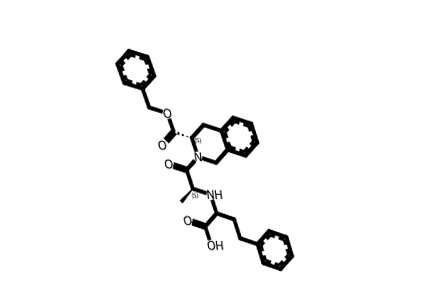 C[C@H](NC(CCc1ccccc1)C(=O)O)C(=O)N1Cc2ccccc2C[C@H]1C(=O)OCc1ccccc1